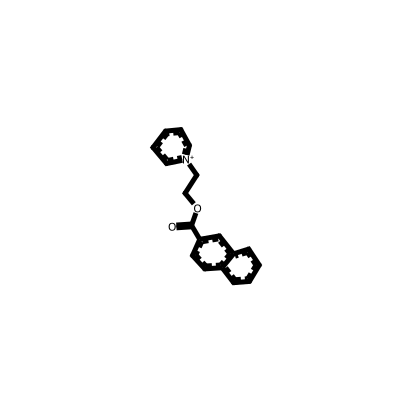 O=C(OCC[n+]1ccccc1)c1ccc2ccccc2c1